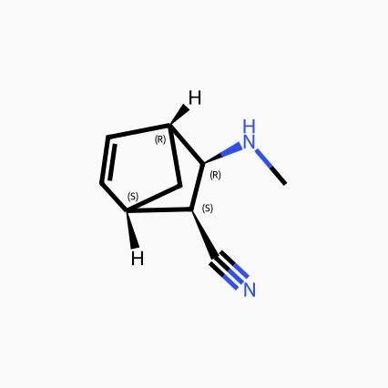 CN[C@H]1[C@@H](C#N)[C@@H]2C=C[C@H]1C2